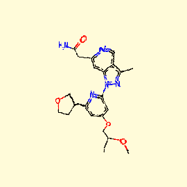 COC(C)COc1cc(C2CCOC2)nc(-n2nc(C)c3cnc(CC(N)=O)cc32)c1